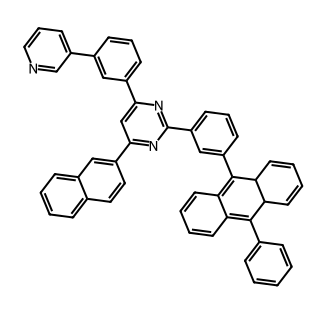 C1=CC2C(c3ccccc3)=c3ccccc3=C(c3cccc(-c4nc(-c5cccc(-c6cccnc6)c5)cc(-c5ccc6ccccc6c5)n4)c3)C2C=C1